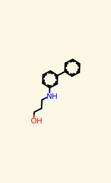 OCCCNc1cccc(-c2ccccc2)c1